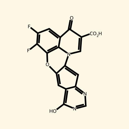 O=C(O)c1cn2c3c(c(F)c(F)cc3c1=O)Oc1cc3c(O)ncnc3cc1-2